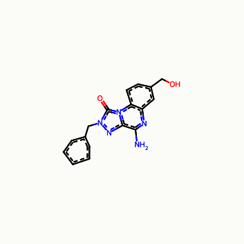 Nc1nc2cc(CO)ccc2n2c(=O)n(Cc3ccccc3)nc12